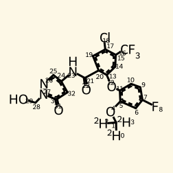 [2H]C([2H])([2H])Oc1cc(F)ccc1Oc1cc(C(F)(F)F)c(Cl)cc1C(=O)Nc1cnn(CO)c(=O)c1